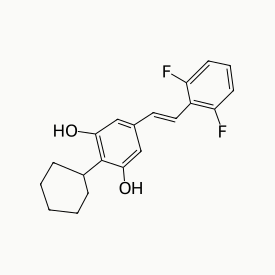 Oc1cc(/C=C/c2c(F)cccc2F)cc(O)c1C1CCCCC1